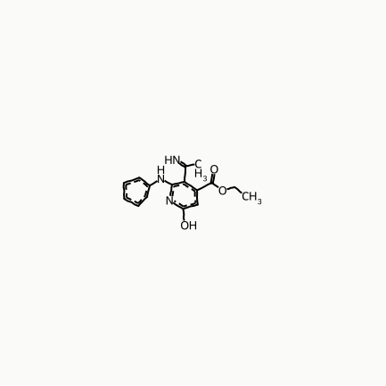 CCOC(=O)c1cc(O)nc(Nc2ccccc2)c1C(C)=N